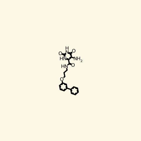 Nc1c(C(=O)NCCCOc2cccc(-c3ccccc3)c2)[nH]c(=O)[nH]c1=O